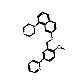 COc1ccc(-c2ccccn2)cc1COc1ccc2cccc(N3CCNCC3)c2c1